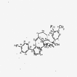 Cc1ccc([C@@](C)(O)[C@H]2CCCC3=Cc4c(-c5ccc(F)cc5)ncn4C[C@@]32C)cc1F